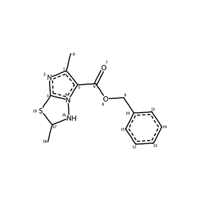 Cc1nc2n(c1C(=O)OCc1ccccc1)NC(C)S2